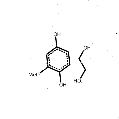 COc1cc(O)ccc1O.OCCO